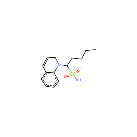 CCCCC(N1CC=Cc2ccccc21)S(N)(=O)=O